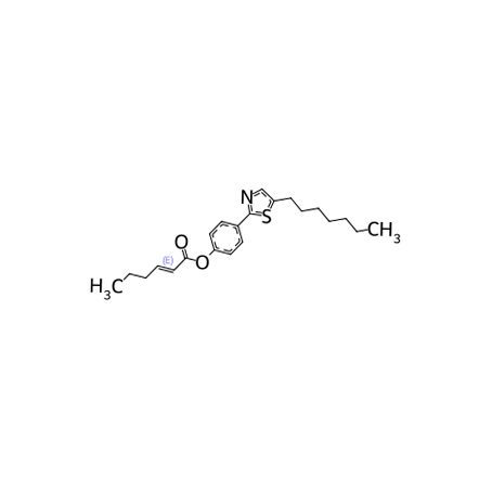 CCC/C=C/C(=O)Oc1ccc(-c2ncc(CCCCCCC)s2)cc1